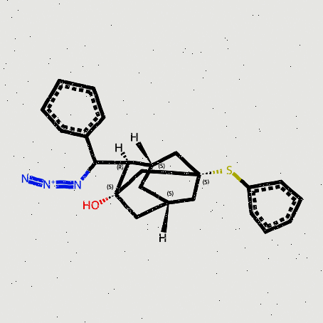 [N-]=[N+]=NC(c1ccccc1)[C@H]1[C@H]2C[C@@H]3C[C@](Sc4ccccc4)(C2)C[C@@]1(O)C3